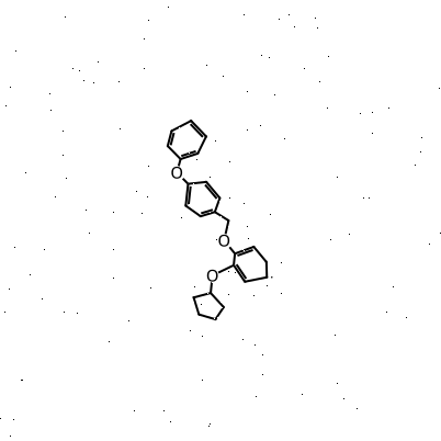 [CH]1C=C(OC2CCCC2)C(OCc2ccc(Oc3ccccc3)cc2)=CC1